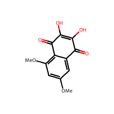 COc1cc(OC)c2c(c1)C(=O)C(O)=C(O)C2=O